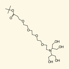 CC(C)(C)OC(=O)CCOCCOCCOCCOCCN(C(CO)CO)C(CO)CO